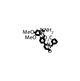 COc1cc2nc(N)n(Cc3cccc(-c4ccc(=O)n(Cc5cccc(C(=O)O)c5)n4)c3)c2cc1OC